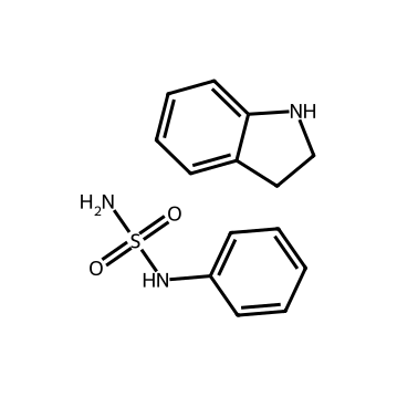 NS(=O)(=O)Nc1ccccc1.c1ccc2c(c1)CCN2